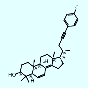 C[C@H](CC#Cc1ccc(Cl)cc1)[C@H]1CCC2=C3C=C[C@H]4C(C)(C)[C@@H](O)CC[C@]4(C)[C@H]3CC[C@@]21C